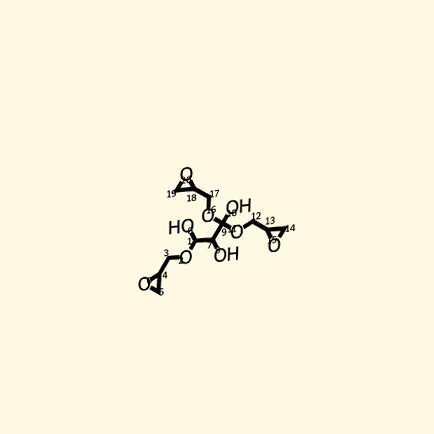 OC(OCC1CO1)C(O)C(O)(OCC1CO1)OCC1CO1